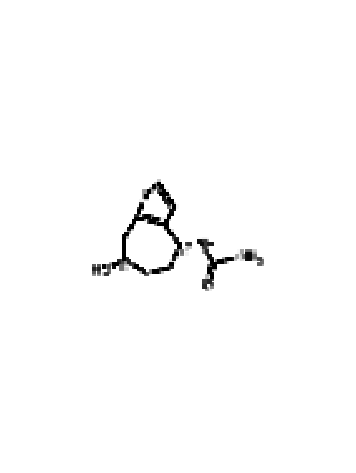 NC(=O)N[C@@H]1CC[C@@H](O)Cc2sccc21